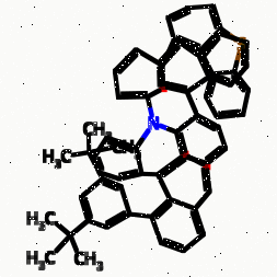 CC(C)(C)c1cc(-c2cccc3cccc(-c4ccccc4N(c4cccc(-c5cccc6sc7ccccc7c56)c4)c4ccccc4-c4cccc5ccccc45)c23)cc(C(C)(C)C)c1